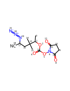 CC(OC(=O)ON1C(=O)CCC1=O)C(C)(C)CC(C#N)N=[N+]=[N-]